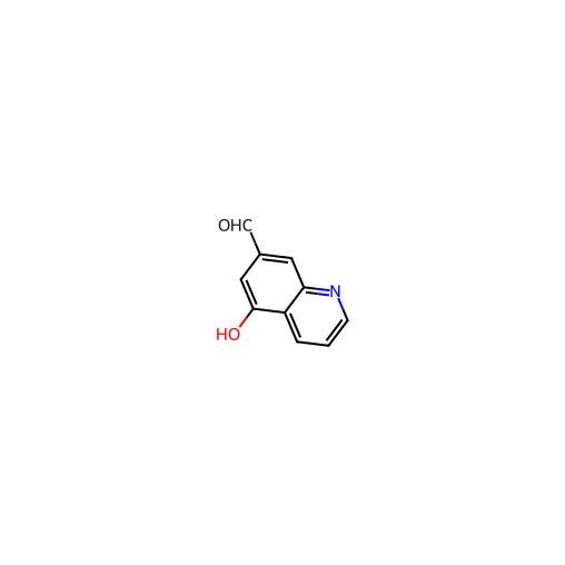 O=Cc1cc(O)c2cccnc2c1